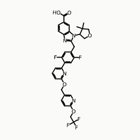 CC1(C)COCC1n1c(Cc2cc(F)c(-c3cccc(OCc4ccc(OCC(F)(F)F)nc4)n3)cc2F)nc2ccc(C(=O)O)cc21